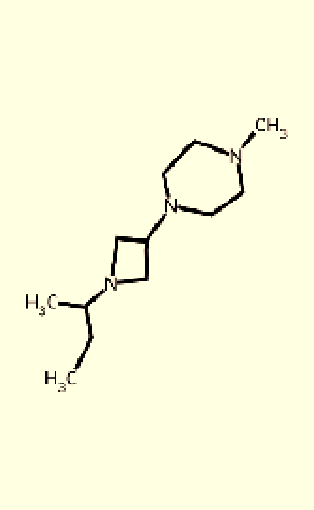 CCC(C)N1CC(N2CCN(C)CC2)C1